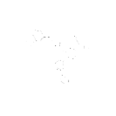 N=C(N)N1CCN(c2ccnc(-n3ccnc3)n2)C(CC(=O)NCc2ccc3c(c2)OCO3)C1